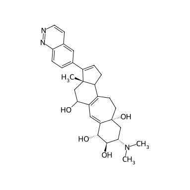 CN(C)[C@H]1C[C@]2(O)CCC3=C(C=C2[C@@H](O)[C@@H]1O)C(O)C[C@]1(C)C(c2ccc4nnccc4c2)=CCC31